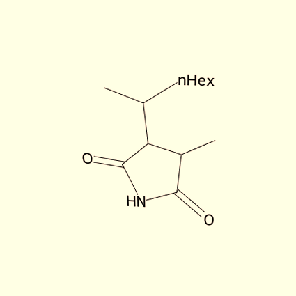 CCCCCCC(C)C1C(=O)NC(=O)C1C